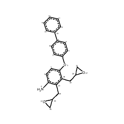 Nc1ccc(Oc2ccc(-c3ccccc3)cc2)c(CC2CO2)c1CC1CO1